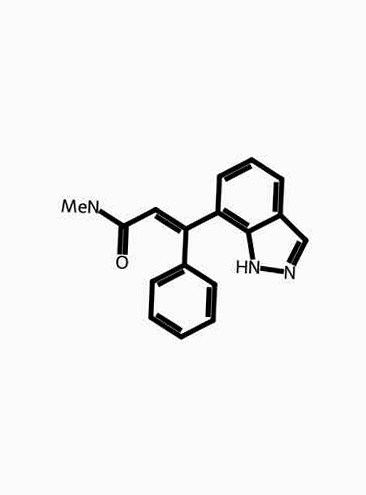 CNC(=O)C=C(c1ccccc1)c1cccc2cn[nH]c12